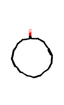 O=C1CC/C=C\CCCCCCCCCCC1